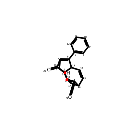 O=C1CNCC2=C(c3ccccc3)C3C=CC1C=CC3C2=O